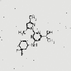 Cc1cc(C)n(-c2nc(N[C@H]3CCCC(F)(F)C3)cc([C@H](C)O)n2)n1